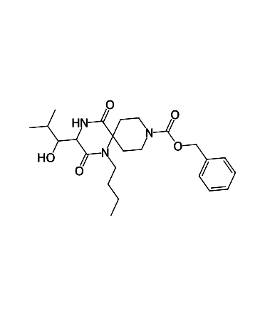 CCCCN1C(=O)C(C(O)C(C)C)NC(=O)C12CCN(C(=O)OCc1ccccc1)CC2